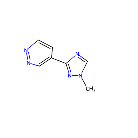 Cn1cnc(-c2ccnnc2)n1